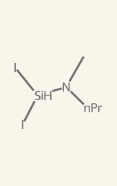 CCCN(C)[SiH](I)I